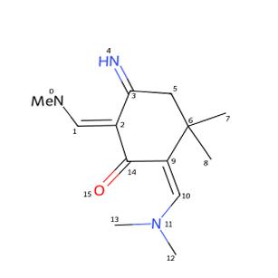 CN/C=C1\C(=N)CC(C)(C)/C(=C/N(C)C)C1=O